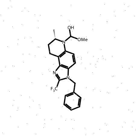 COC(O)N1c2ccc3c(nc(C(F)(F)F)n3Cc3ccccc3)c2CC[C@@H]1C